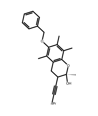 CCCC#CC1Cc2c(C)c(OCc3ccccc3)c(C)c(C)c2O[C@@]1(C)O